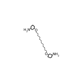 Nc1cccc(OCCCCCCCCCCCCOc2cccc(N)c2)c1